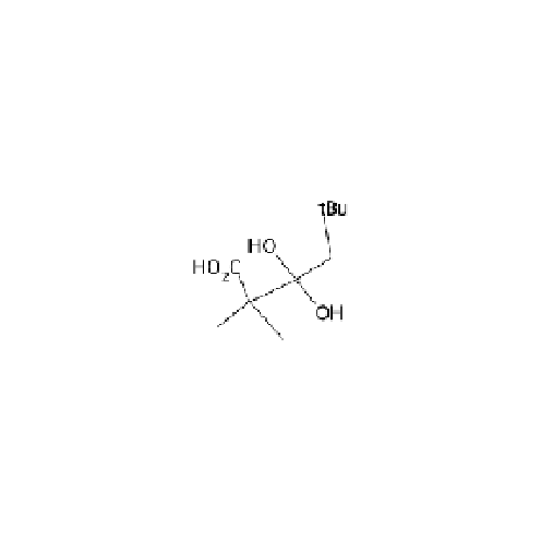 CC(C)(C)CC(O)(O)C(C)(C)C(=O)O